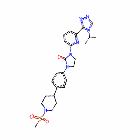 CC(C)n1cnnc1-c1cccc(N2CCN(c3ccc(C4CCN(S(C)(=O)=O)CC4)cc3)C2=O)n1